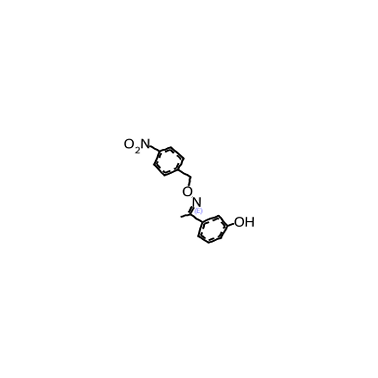 C/C(=N\OCc1ccc([N+](=O)[O-])cc1)c1cccc(O)c1